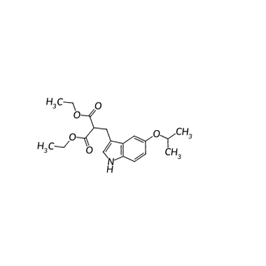 CCOC(=O)C(Cc1c[nH]c2ccc(OC(C)C)cc12)C(=O)OCC